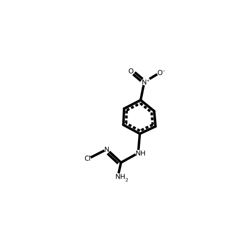 NC(=NCl)Nc1ccc([N+](=O)[O-])cc1